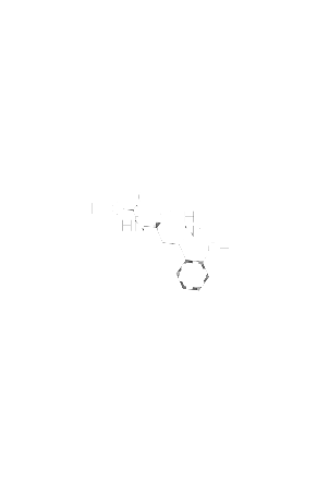 Cc1ccccc1[C@@H](N)CC(=O)NC(C)C